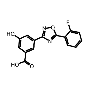 O=C(O)c1cc(O)cc(-c2noc(-c3ccccc3F)n2)c1